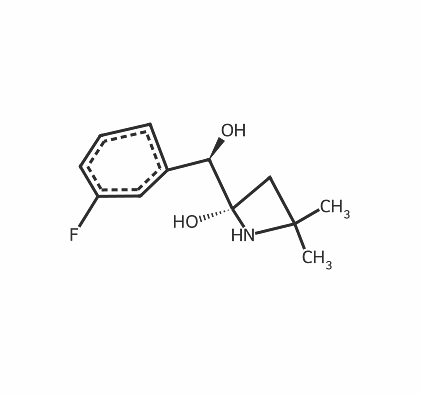 CC1(C)C[C@](O)([C@H](O)c2cccc(F)c2)N1